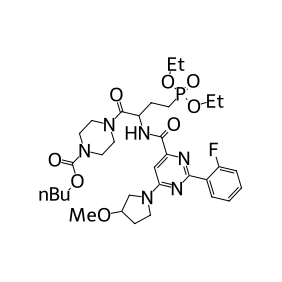 CCCCOC(=O)N1CCN(C(=O)C(CCP(=O)(OCC)OCC)NC(=O)c2cc(N3CCC(OC)C3)nc(-c3ccccc3F)n2)CC1